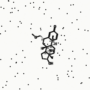 COC[C@H]1C[C@@H]2[C@H](CC[C@]3(C)C(O)CC[C@@]23N)[C@@]2(C)C=CC(=O)C=C12